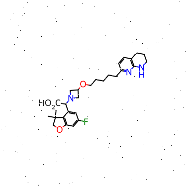 CC1(C)COc2cc(F)cc(C(C(=O)O)N3CC(OCCCCCc4ccc5c(n4)NCCC5)C3)c21